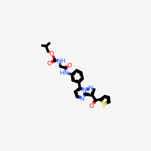 CC(C)COC(=O)NCC(=O)Nc1cccc(-c2ccnc3c(C(=O)c4cccs4)cnn23)c1